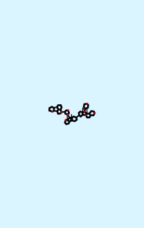 c1ccc(-n2c3ccc(-c4ccc5c6ccccc6n(-c6cccc(-c7ccc8c9c(cccc79)-c7ccccc7-8)c6)c5c4)cc3c3ccc4ccccc4c32)cc1